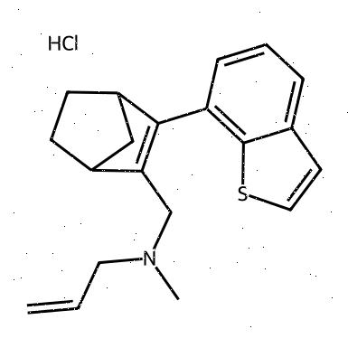 C=CCN(C)CC1=C(c2cccc3ccsc23)C2CCC1C2.Cl